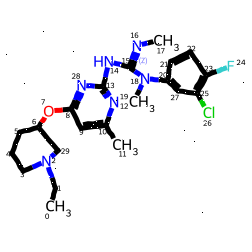 CCN1CCCC(Oc2cc(C)nc(N/C(=N/C)N(C)c3ccc(F)c(Cl)c3)n2)C1